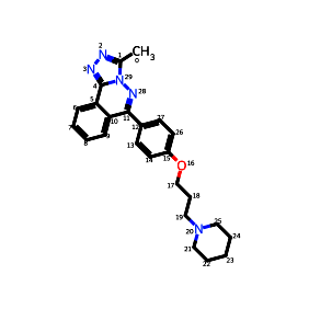 Cc1nnc2c3ccccc3c(-c3ccc(OCCCN4CCCCC4)cc3)nn12